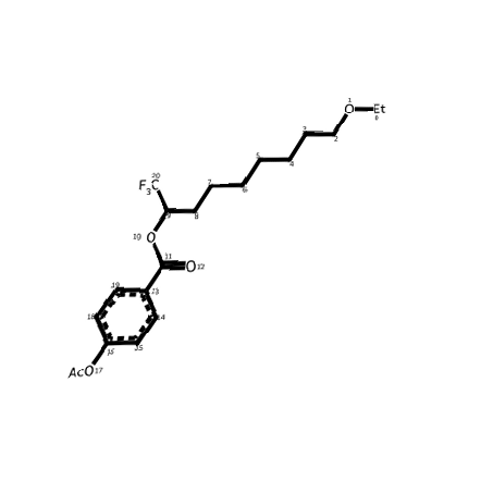 CCOCCCCCCCC(OC(=O)c1ccc(OC(C)=O)cc1)C(F)(F)F